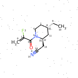 C=C(F)C(=O)N1CC[C@H](CC)C[C@H]1CC#N